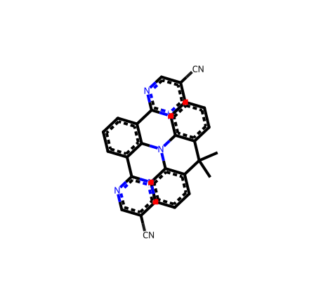 CC1(C)c2ccccc2N(c2c(-c3ncc(C#N)cn3)cccc2-c2ncc(C#N)cn2)c2ccccc21